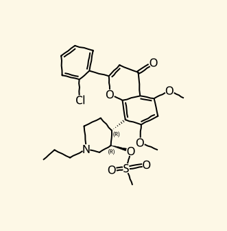 CCCN1CC[C@H](c2c(OC)cc(OC)c3c(=O)cc(-c4ccccc4Cl)oc23)[C@@H](OS(C)(=O)=O)C1